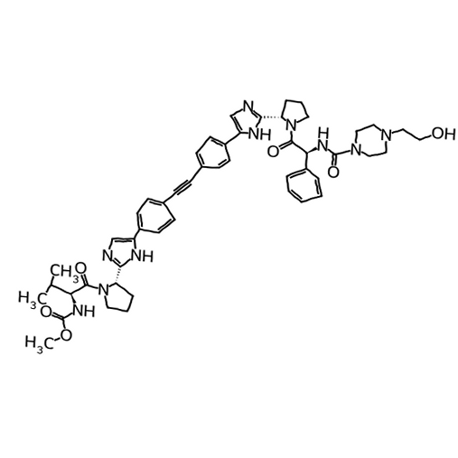 COC(=O)N[C@H](C(=O)N1CCC[C@H]1c1ncc(-c2ccc(C#Cc3ccc(-c4cnc([C@@H]5CCCN5C(=O)[C@@H](NC(=O)N5CCN(CCO)CC5)c5ccccc5)[nH]4)cc3)cc2)[nH]1)C(C)C